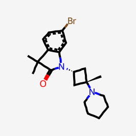 CC1(C)C(=O)N([C@H]2C[C@@](C)(N3CCCCC3)C2)c2cc(Br)ccc21